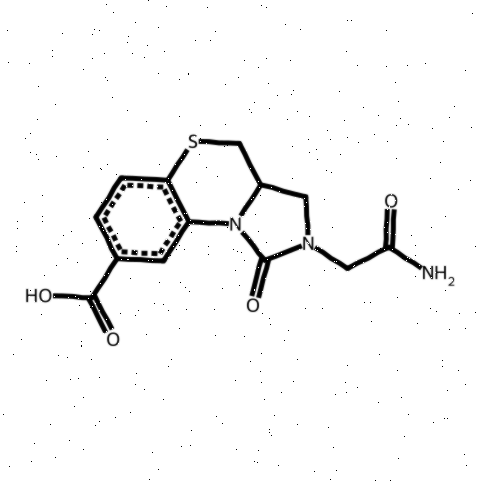 NC(=O)CN1CC2CSc3ccc(C(=O)O)cc3N2C1=O